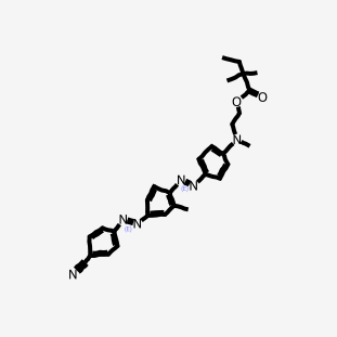 CCC(C)(C)C(=O)OCCN(C)c1ccc(/N=N/c2ccc(/N=N/c3ccc(C#N)cc3)cc2C)cc1